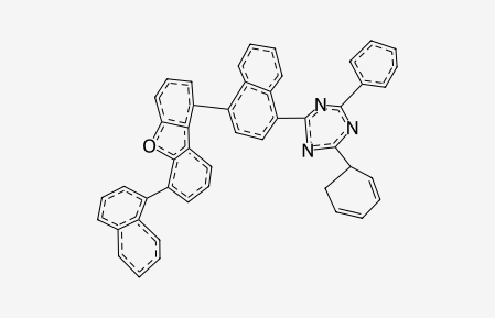 C1=CCC(c2nc(-c3ccccc3)nc(-c3ccc(-c4cccc5oc6c(-c7cccc8ccccc78)cccc6c45)c4ccccc34)n2)C=C1